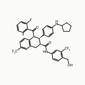 Cc1cccc(F)c1C(=O)N1c2ccc(C(F)(F)F)cc2C[C@H](C(=O)Nc2ccc(CO)c(C(F)(F)F)c2)[C@@H]1c1ccc(NC2CCCC2)cc1